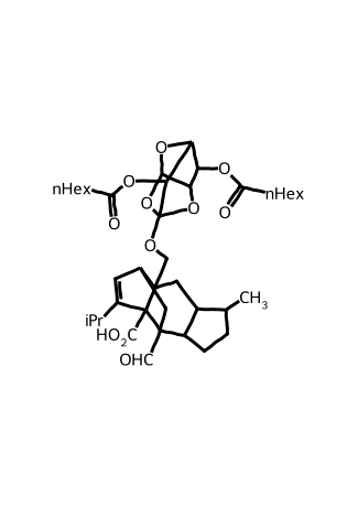 CCCCCCC(=O)OC1C2OC3(OCC45CC6C(C)CCC6C6(C=O)CC4C=C(C(C)C)C65C(=O)O)OC2OC1C3OC(=O)CCCCCC